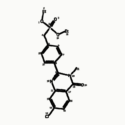 CCOP(=O)(Cc1ccc(-c2nc3cc(Cl)ccc3c(=O)n2C)cc1)OCC